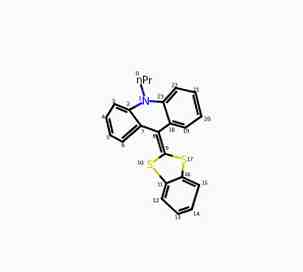 CCCN1c2ccccc2C(=C2Sc3ccccc3S2)c2ccccc21